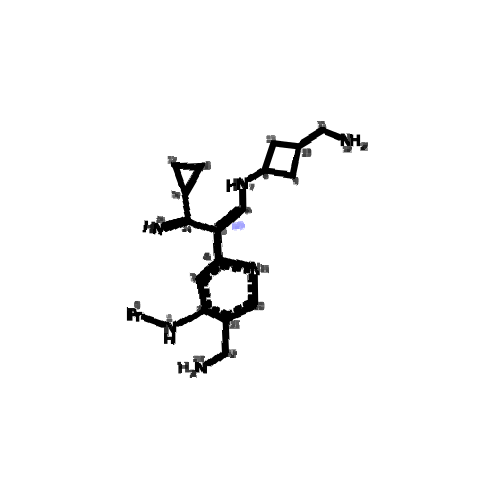 CC(C)Nc1cc(/C(=C/NC2CC(CN)C2)C(=N)C2CC2)ncc1CN